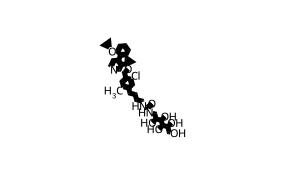 Cc1cc(COC2(c3cnccc3-c3ccccc3OC3CC3)CC2)c(Cl)cc1CCCCNC(=O)NCC(O)C(O)C(O)C(O)CO